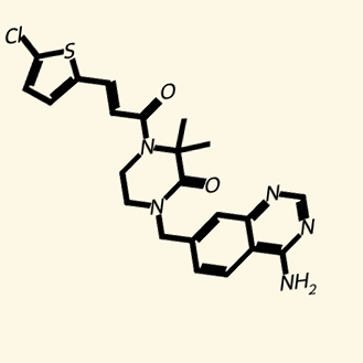 CC1(C)C(=O)N(Cc2ccc3c(N)ncnc3c2)CCN1C(=O)C=Cc1ccc(Cl)s1